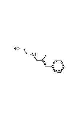 C/C(=C\c1ccccc1)CNCCC#N